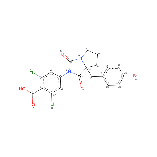 O=C(O)c1c(Cl)cc(N2C(=O)N3CCCC3(Cc3ccc(Br)cc3)C2=O)cc1Cl